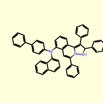 C1=C(c2ccccc2)N2NC(c3ccccc3)C(c3ccccc3)=C2c2cccc(N(c3ccc(-c4ccccc4)cc3)c3cccc4ccccc34)c21